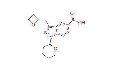 O=C(O)c1ccc2c(c1)c(CC1CCO1)nn2C1CCCCO1